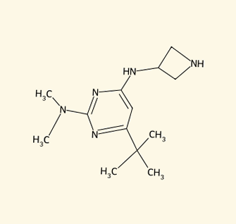 CN(C)c1nc(NC2CNC2)cc(C(C)(C)C)n1